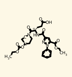 CCOC(=O)ON1CCN(C(=O)[C@H](CCC(=O)O)NC(=O)c2cc(C(=O)OCC)n(-c3ccccc3)n2)CC1